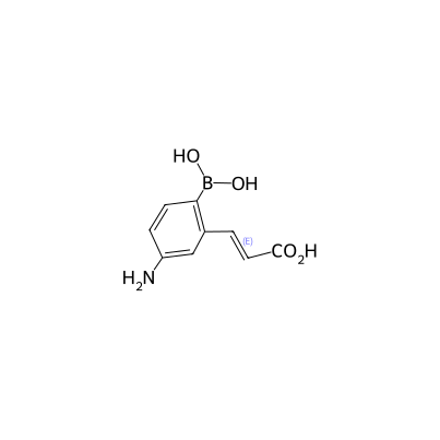 Nc1ccc(B(O)O)c(/C=C/C(=O)O)c1